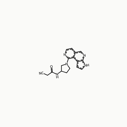 N#CCC(=O)NC1CCN(c2nccc3cnc4[nH]ccc4c23)C1